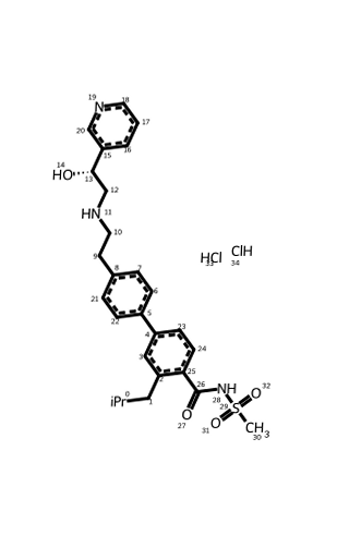 CC(C)Cc1cc(-c2ccc(CCNC[C@H](O)c3cccnc3)cc2)ccc1C(=O)NS(C)(=O)=O.Cl.Cl